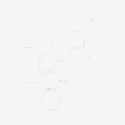 COc1cc(C(C)C)cc(Oc2c(Br)cc(CC(=O)O)cc2Br)c1C(=O)c1cccc(C)c1